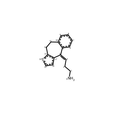 NCCC=C1c2ccccc2CCc2sccc21